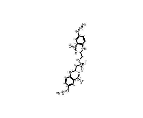 [N-]=[N+]=Nc1ccc(NCCSS(=O)(=O)CCNc2ccc(N=[N+]=[N-])cc2[N+](=O)[O-])c([N+](=O)[O-])c1